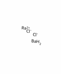 [BaH2].[Cl-].[Cl-].[Ra+2]